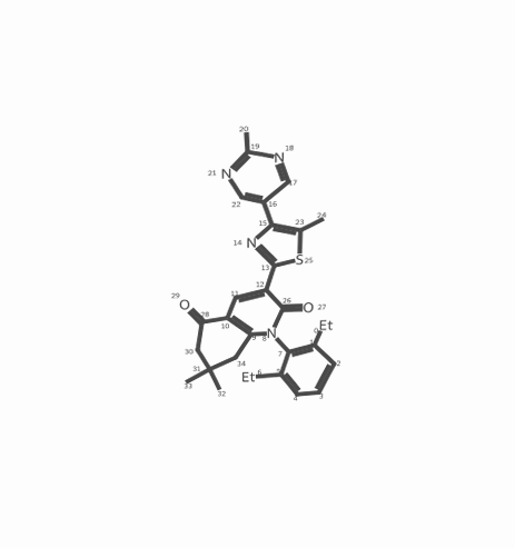 CCc1cccc(CC)c1-n1c2c(cc(-c3nc(-c4cnc(C)nc4)c(C)s3)c1=O)C(=O)CC(C)(C)C2